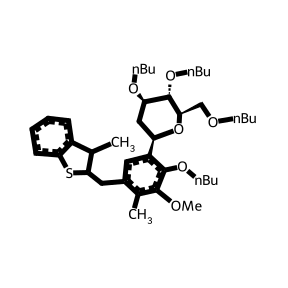 CCCCOC[C@H]1O[C@@H](c2cc(CC3Sc4ccccc4C3C)c(C)c(OC)c2OCCCC)C[C@@H](OCCCC)[C@@H]1OCCCC